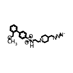 COCc1ccccc1-c1ccc(S(=O)(=O)NCCN2CCC(CN=[N+]=[N-])CC2)cc1